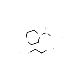 CCCCCCCCCCNC.O=C(O)NN1CCOCC1